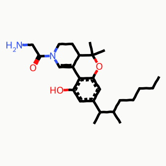 CCCCCC(C)C(C)c1cc(O)c2c(c1)OC(C)(C)C1CCN(C(=O)CN)C=C21